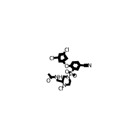 CC(=O)NCC1CN(S(=O)(=O)c2cc(C#N)ccc2Oc2cc(Cl)cc(Cl)c2)CCN1Cl